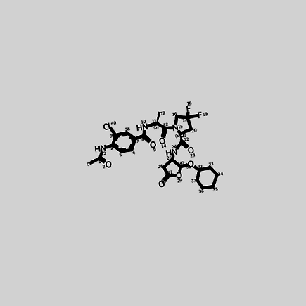 CC(=O)Nc1ccc(C(=O)N[C@@H](C)C(=O)N2CC(F)(F)C[C@H]2C(=O)NC2CC(=O)OC2OC2CCCCC2)cc1Cl